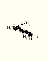 CCOCCOCc1cc2c(ccn2C(N)=O)cc1Oc1ccnc(NC(=O)c2ccc(CN3CC(C)NC(C)C3)cc2)c1